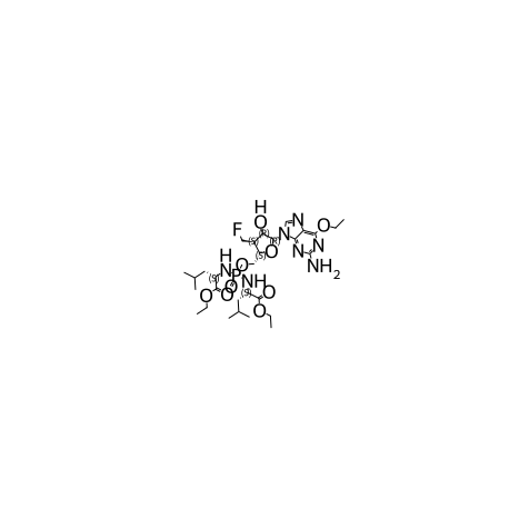 CCOC(=O)[C@H](CC(C)C)NP(=O)(N[C@@H](CC(C)C)C(=O)OCC)OC[C@H]1O[C@@H](n2cnc3c(OCC)nc(N)nc32)[C@H](O)[C@@H]1CF